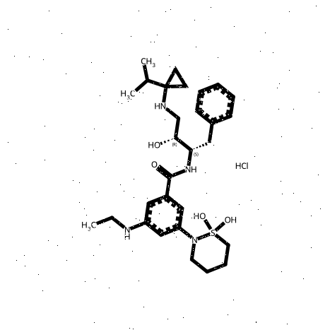 CCNc1cc(C(=O)N[C@@H](Cc2ccccc2)[C@H](O)CNC2(C(C)C)CC2)cc(N2CCCCS2(O)O)c1.Cl